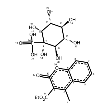 CCOC(=O)c1c(C)c2ccccc2oc1=O.O=P(O)(O)[C@@]1(O)[C@H](O)[C@H](O)[C@@H](O)[C@H](O)[C@H]1O